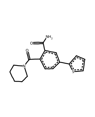 NC(=O)c1cc(-c2cccs2)ccc1C(=O)N1CCCCC1